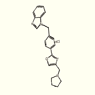 Cl.c1ccc2c(c1)ncn2Cc1ccc(-c2nc(CN3CCCC3)co2)cc1